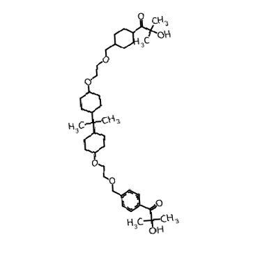 CC(C)(O)C(=O)c1ccc(COCCOC2CCC(C(C)(C)C3CCC(OCCOCC4CCC(C(=O)C(C)(C)O)CC4)CC3)CC2)cc1